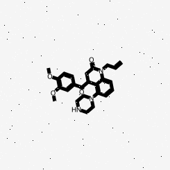 C=CCN1C(=O)CC(C(=O)c2ccc(OC)c(OC)c2)c2c(N3CCNCC3)cccc21